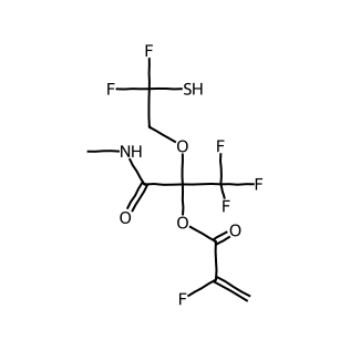 C=C(F)C(=O)OC(OCC(F)(F)S)(C(=O)NC)C(F)(F)F